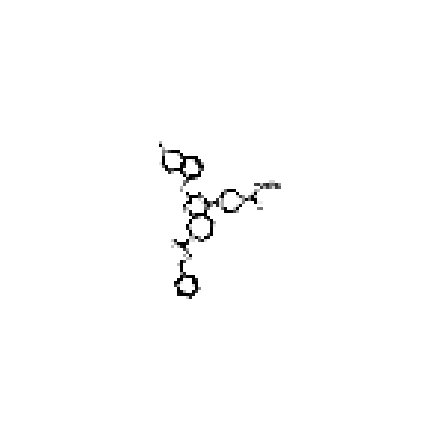 CN1CCc2c(cccc2Oc2nc3c(c(N4CCN(C(=O)OC(C)(C)C)CC4)n2)CCCN(C(=O)OCc2ccccc2)C3)C1